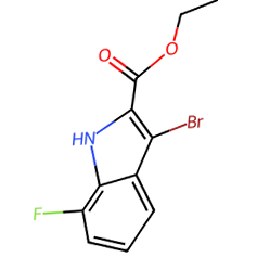 CCOC(=O)c1[nH]c2c(F)cccc2c1Br